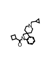 O=C(C1CCC1)N1CC2(CCN(CC3CC3)CC2)c2ccccc21